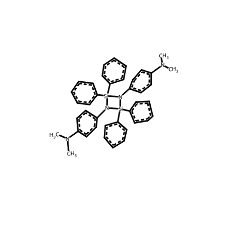 CN(C)c1ccc(N2[Si](c3ccccc3)(c3ccccc3)N(c3ccc(N(C)C)cc3)[Si]2(c2ccccc2)c2ccccc2)cc1